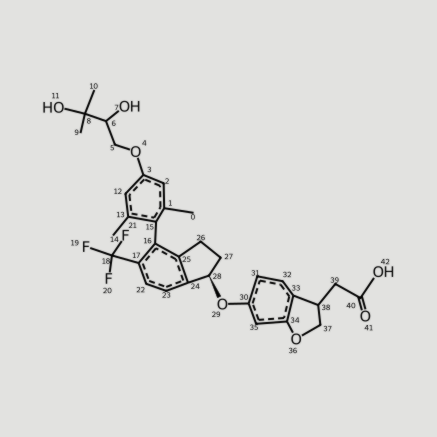 Cc1cc(OCC(O)C(C)(C)O)cc(C)c1-c1c(C(F)(F)F)ccc2c1CC[C@H]2Oc1ccc2c(c1)OCC2CC(=O)O